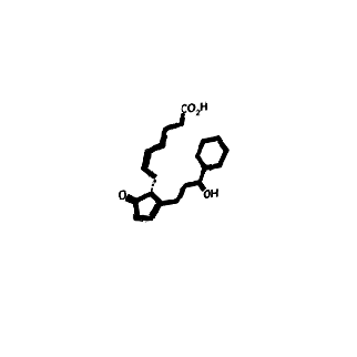 O=C(O)CCC/C=C\C[C@H]1C(=O)CC=C1CCC(O)C1CCCCC1